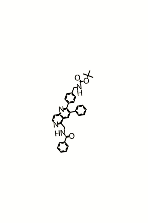 CC(C)(C)OC(=O)NCc1ccc(-c2nc3ccnc(CNC(=O)c4ccccc4)c3cc2-c2ccccc2)cc1